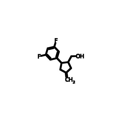 C=C1CC(CO)C(c2cc(F)cc(F)c2)C1